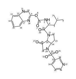 CC(C)CC(NC(=O)Oc1cnc2ccccc2n1)C(=O)N1CCC2C1C(=O)CN2S(=O)(=O)c1cccnc1